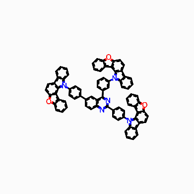 c1cc(-c2nc(-c3ccc(-n4c5ccccc5c5ccc6oc7ccccc7c6c54)cc3)nc3ccc(-c4ccc(-n5c6ccccc6c6ccc7oc8ccccc8c7c65)cc4)cc23)cc(-n2c3ccccc3c3ccc4oc5ccccc5c4c32)c1